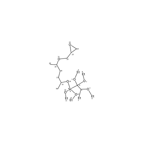 CCOC(CC)C(OCC)(OCC)[Si](OCC)(OCC)OC(C)CCC(C)OCC1CO1